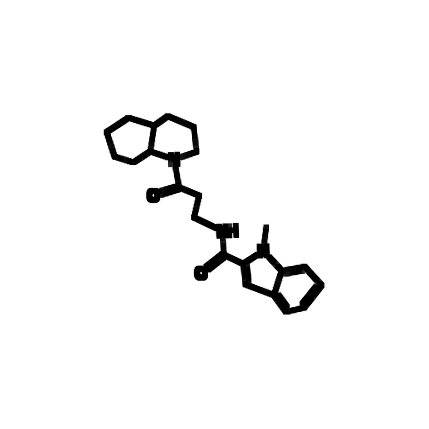 Cn1c(C(=O)NCCC(=O)N2CCCC3CCCCC32)cc2ccccc21